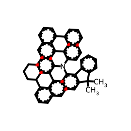 CC1(C)c2ccccc2-c2c(N(c3ccccc3-c3cccc4cccc(-c5ccccc5)c34)c3ccccc3-c3cccc4cccc(C5CCCCC5)c34)cccc21